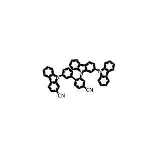 N#Cc1ccc(-c2cccc(-n3c4ccccc4c4ccc(C#N)cc43)c2)c(-n2c3ccccc3c3ccc(-n4c5ccccc5c5ccccc54)cc32)c1